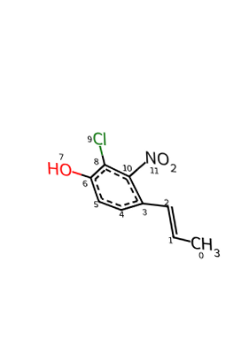 CC=Cc1ccc(O)c(Cl)c1[N+](=O)[O-]